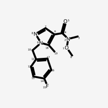 CON(C)C(=O)c1cnn(Cc2ccc(F)cc2)c1C